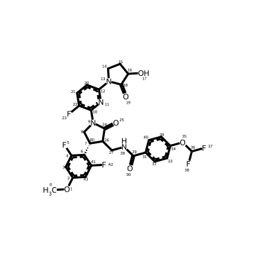 COc1cc(F)c([C@@H]2CN(c3nc(N4CCC(O)C4=O)ccc3F)C(=O)C2CNC(=O)c2ccc(OC(F)F)cc2)c(F)c1